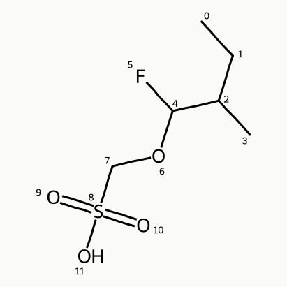 CCC(C)C(F)OCS(=O)(=O)O